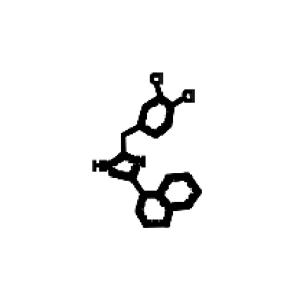 Clc1ccc(Cc2nc(-c3cccc4ccccc34)c[nH]2)cc1Cl